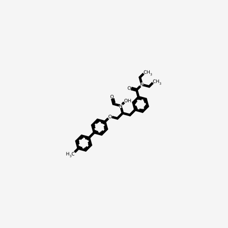 CCN(CC)C(=O)c1cccc(CC(COc2ccc(-c3ccc(C)cc3)cc2)N(O)C=O)c1